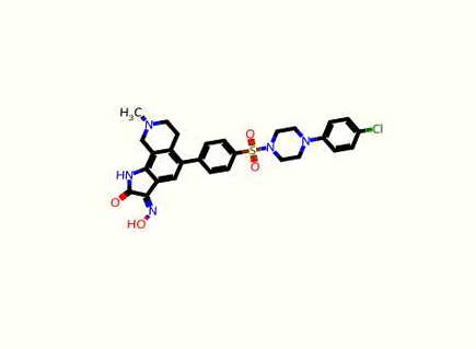 CN1CCc2c(-c3ccc(S(=O)(=O)N4CCN(c5ccc(Cl)cc5)CC4)cc3)cc3c(c2C1)NC(=O)/C3=N\O